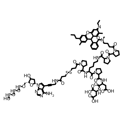 CCCc1cc2c(cc1C)C(c1ccccc1C(=O)N(C)CCCC(=O)N1CCCC1C(=O)N1CCCC1C(=O)NCCCCC(NC(=O)C1CCCN1C(=O)CCSSCCC(=O)NCC#Cc1cn([C@H]3CC(O)[C@@H](COPOPOPO)O3)c3ncnc(N)c13)C(=O)N1CCCC1C(=O)NC(CC(=O)O)C(=O)NC(CC(=O)O)C(=O)O)C1C=C(C)/C(=N/CC)C=C1O2